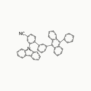 N#Cc1ccc(-c2cccc(-c3c4ccccc4c(-c4ccccc4)c4ccccc34)c2)c(-n2c3ccccc3c3ccccc32)c1